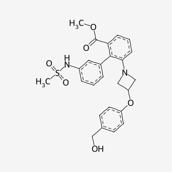 COC(=O)c1cccc(N2CC(Oc3ccc(CO)cc3)C2)c1-c1cccc(NS(C)(=O)=O)c1